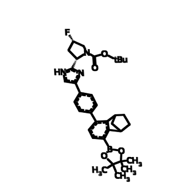 CC(C)(C)OC(=O)N1C[C@@H](F)C[C@H]1c1nc(-c2ccc(-c3ccc(B4OC(C)(C)C(C)(C)O4)c4c3C3CCC4C3)cc2)c[nH]1